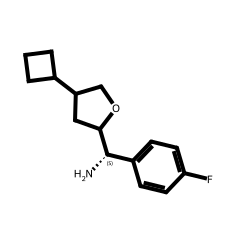 N[C@@H](c1ccc(F)cc1)C1CC(C2CCC2)CO1